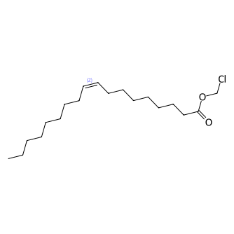 CCCCCCCC/C=C\CCCCCCCC(=O)OCCl